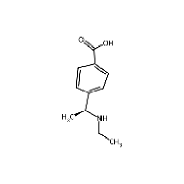 CCN[C@@H](C)c1ccc(C(=O)O)cc1